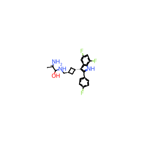 C[C@@H](N)C(O)NC[C@H]1C[C@H](c2c(-c3ccc(F)cc3)[nH]c3c(F)cc(F)cc32)C1